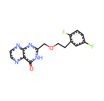 O=c1[nH]c(COCCc2cc(F)ccc2F)nc2nccnc12